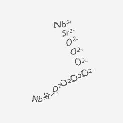 [Nb+5].[Nb+5].[O-2].[O-2].[O-2].[O-2].[O-2].[O-2].[O-2].[Sr+2].[Sr+2]